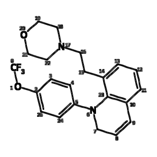 FC(F)(F)Oc1ccc(N2CC=Cc3cccc(CCN4CCOCC4)c32)cc1